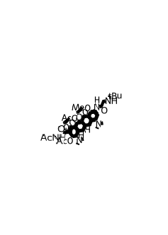 COc1c(NC(=O)CNC(C)(C)C)cc(N(C)C)c2c1C1(OCCO1)C1=C(OC(C)=O)[C@@]3(O)[C@@H](C[C@@H]1C2)[C@H](N(C)C)C(OC(C)=O)=C(C(=O)NC(C)=O)C31OCCO1